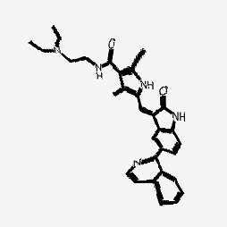 CCN(CC)CCNC(=O)c1c(C)[nH]c(/C=C2\C(=O)Nc3ccc(-c4nccc5ccccc45)cc32)c1C